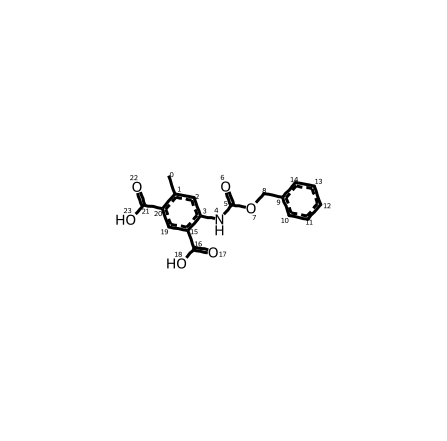 Cc1cc(NC(=O)OCc2ccccc2)c(C(=O)O)cc1C(=O)O